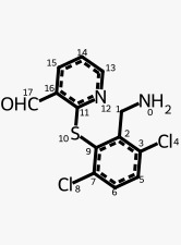 NCc1c(Cl)ccc(Cl)c1Sc1ncccc1C=O